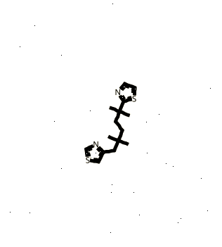 CC(C)(CCC(C)(C)c1nccs1)Cc1cscn1